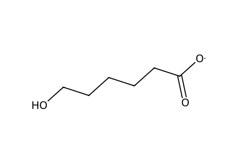 [O]C(=O)CCCCCO